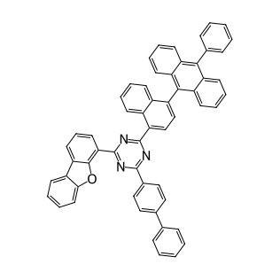 c1ccc(-c2ccc(-c3nc(-c4ccc(-c5c6ccccc6c(-c6ccccc6)c6ccccc56)c5ccccc45)nc(-c4cccc5c4oc4ccccc45)n3)cc2)cc1